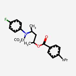 CCCc1ccc(C(=O)OC(C)CC(C)N(C(=O)OCC)c2ccc(F)cc2)cc1